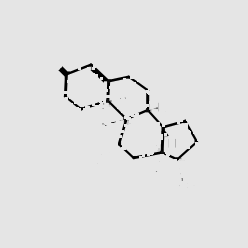 C[C@]12CC[C@H]3[C@@H](CCC4=CC(=O)CC[C@@]43C)[C@@H]1CC[C@@H]2O.O